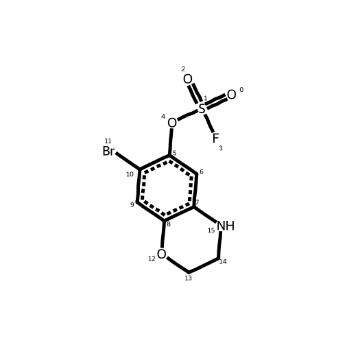 O=S(=O)(F)Oc1cc2c(cc1Br)OCCN2